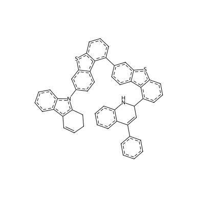 C1=Cc2c(n(-c3ccc4c(c3)sc3cccc(-c5ccc6c(c5)sc5cccc(C7C=C(c8ccccc8)c8ccccc8N7)c56)c34)c3ccccc23)CC1